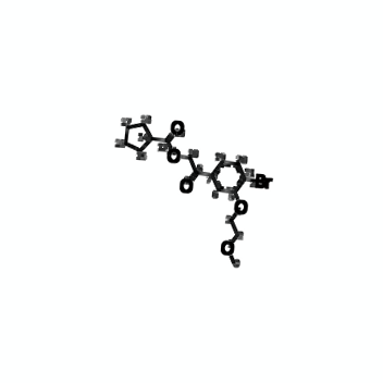 COCCOc1cc(C(=O)COC(=O)C2CCCC2)ccc1Br